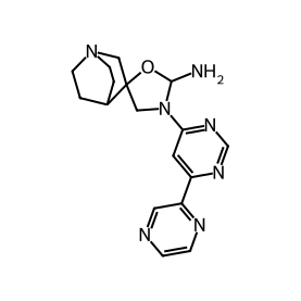 NC1OC2(CN3CCC2CC3)CN1c1cc(-c2cnccn2)ncn1